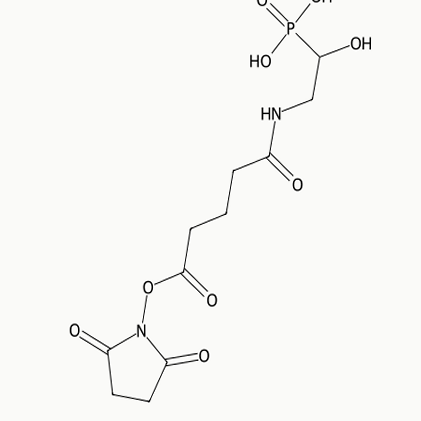 O=C(CCCC(=O)ON1C(=O)CCC1=O)NCC(O)P(=O)(O)O